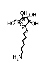 NCCCCCCS[C@H]1O[C@H](CO)[C@@H](O)[C@H](O)[C@@H]1O